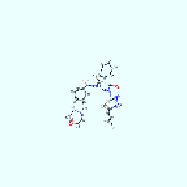 O=C(Nc1sc2c(c1C(=O)Nc1nnc(C3CC3)s1)CCCC2)c1cccc(CN2CCOCC2)c1